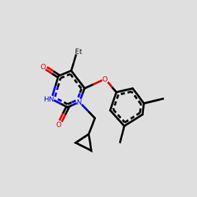 CCc1c(Oc2cc(C)cc(C)c2)n(CC2CC2)c(=O)[nH]c1=O